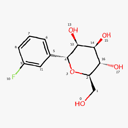 OC[C@H]1O[C@H](c2cccc(F)c2)[C@@H](O)[C@@H](O)[C@@H]1O